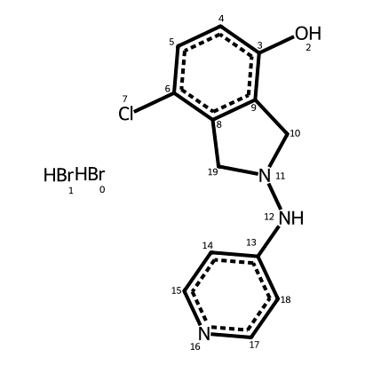 Br.Br.Oc1ccc(Cl)c2c1CN(Nc1ccncc1)C2